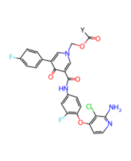 Nc1nccc(Oc2ccc(NC(=O)c3cn(CO[C](=O)[Y])cc(-c4ccc(F)cc4)c3=O)cc2F)c1Cl